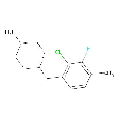 Cc1ccc(CC2CCC(C)CC2)c(Cl)c1F